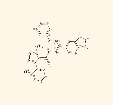 Cc1onc(-c2ccccc2Cl)c1C(=O)O/N=C(\NCc1cccnc1)c1ccc2c(c1)OCO2